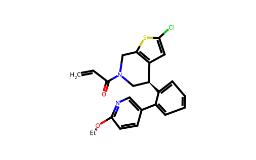 C=CC(=O)N1Cc2sc(Cl)cc2[C@@H](c2ccccc2-c2ccc(OCC)nc2)C1